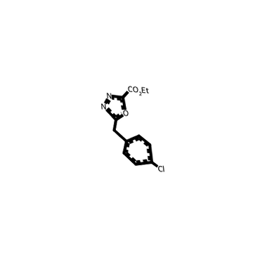 CCOC(=O)c1nnc(Cc2ccc(Cl)cc2)o1